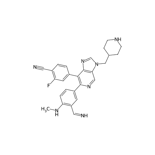 CNc1ccc(-c2ncc3c(ncn3CC3CCNCC3)c2-c2ccc(C#N)c(F)c2)cc1C=N